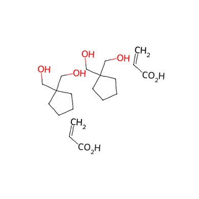 C=CC(=O)O.C=CC(=O)O.OCC1(CO)CCCC1.OCC1(CO)CCCC1